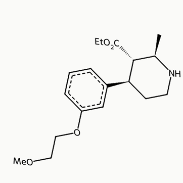 CCOC(=O)[C@@H]1[C@@H](C)NCC[C@H]1c1cccc(OCCOC)c1